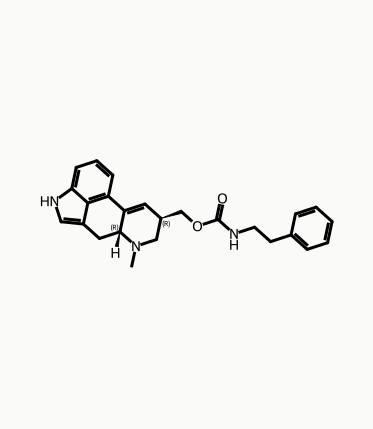 CN1C[C@H](COC(=O)NCCc2ccccc2)C=C2c3cccc4[nH]cc(c34)C[C@H]21